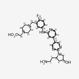 NCCC1CC(O)CN1c1ncc(-c2ccnc(Nc3ccc(F)c(CN4CCN(CC(=O)O)CC4)c3)c2)cn1